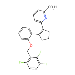 O=C(O)c1cccc(C2=C(c3ccccc3OCc3c(F)ccc(F)c3F)CCC2)n1